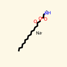 CCCCCCCCCCCCCC(=O)COC(=O)CNC.[Na]